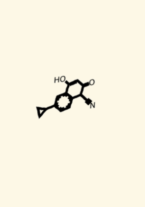 N#CC1C(=O)C=C(O)c2cc(C3CC3)ccc21